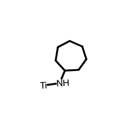 [Ti][NH]C1CCCCCC1